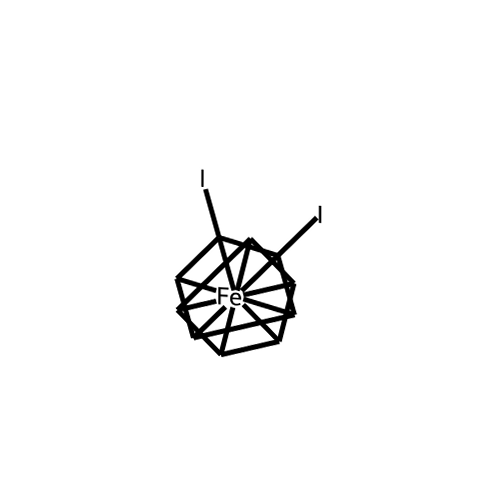 I[C]12[CH]3[CH]4[CH]5[C]1(I)[Fe]43521678[CH]2[CH]1[CH]6[CH]7[CH]28